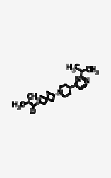 CC(C)c1nccc(C2CCN([C@H]3CC4(C[C@H](C(=O)C(C)C)C4)C3)CC2)n1